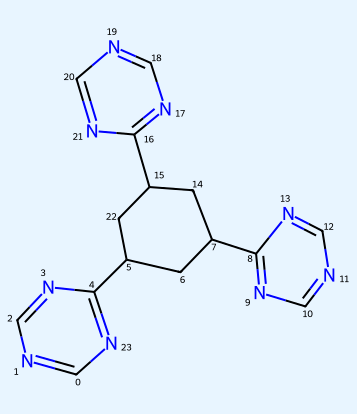 c1ncnc(C2CC(c3ncncn3)CC(c3ncncn3)C2)n1